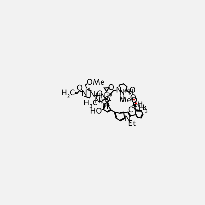 C=CC(=O)N1CCN(C(=O)N(C)[C@H](C(=O)NC2([C@H]3Cc4cc(O)cc(c4)-c4ccc5c(c4)c(c(-c4ccccc4CCOC)n5CC)CC(C)(C)COC(=O)[C@@H]4CCCN(N4)C3=O)CC2)C(C)C)C[C@@H]1COC